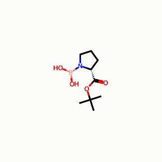 CC(C)(C)OC(=O)[C@H]1CCCN1B(O)O